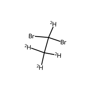 [2H]C([2H])([2H])C([2H])(Br)Br